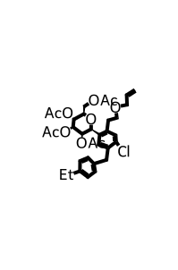 C=CCOCCc1cc(Cl)c(Cc2ccc(CC)cc2)cc1[C@@H]1O[C@H](COC(C)=O)[C@@H](OC(C)=O)[C@H](OC(C)=O)[C@H]1OC(C)=O